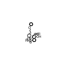 CC(NS(=O)(=O)c1cccc2c(O)nccc12)N1CCN(CCCOc2ccccc2)CC1.Cl.Cl